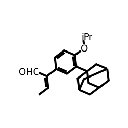 CC=C(C=O)c1ccc(OC(C)C)c(C23CC4CC(CC(C4)C2)C3)c1